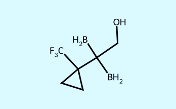 BC(B)(CO)C1(C(F)(F)F)CC1